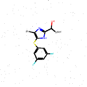 CCCCCCC(O)c1nc(C(C)C)c(Sc2cc(F)cc(F)c2)[nH]1